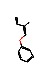 C=CC(C)=COc1ccccc1